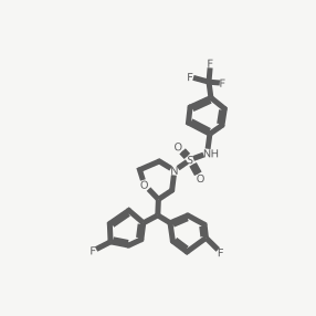 O=S(=O)(Nc1ccc(C(F)(F)F)cc1)N1CCOC(C(c2ccc(F)cc2)c2ccc(F)cc2)C1